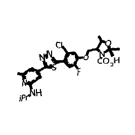 Cc1cc(-c2nnc(-c3cc(F)c(OCC4C(C)OC(C)(C)N4C(=O)O)cc3Cl)s2)cc(NC(C)C)n1